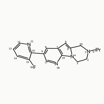 CC(C)N1CCn2c(cc3cc(-c4ncccc4F)cnc32)C1